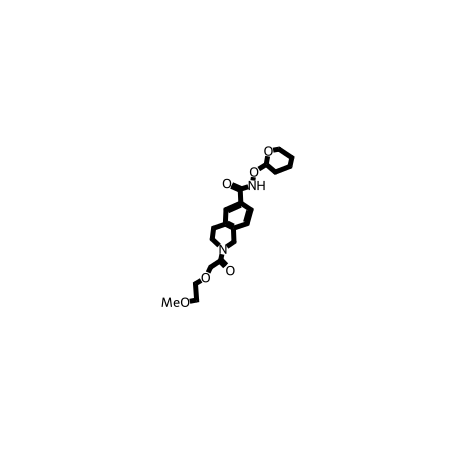 COCCOCC(=O)N1CCc2cc(C(=O)NOC3CCCCO3)ccc2C1